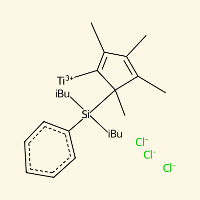 CCC(C)[Si](c1ccccc1)(C(C)CC)C1(C)C(C)=C(C)C(C)=[C]1[Ti+3].[Cl-].[Cl-].[Cl-]